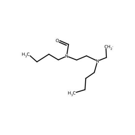 [CH2]CN(CCCC)CCN(C=O)CCCC